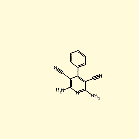 N#Cc1c(N)nc(N)c(C#N)c1-c1ccccc1